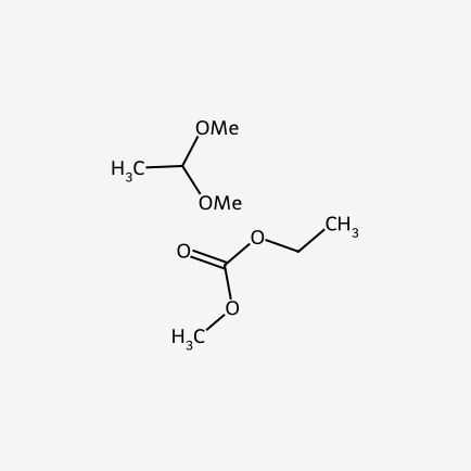 CCOC(=O)OC.COC(C)OC